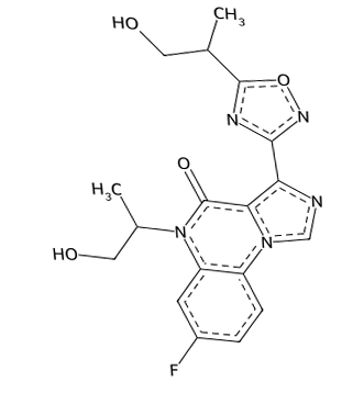 CC(CO)c1nc(-c2ncn3c2c(=O)n(C(C)CO)c2cc(F)ccc23)no1